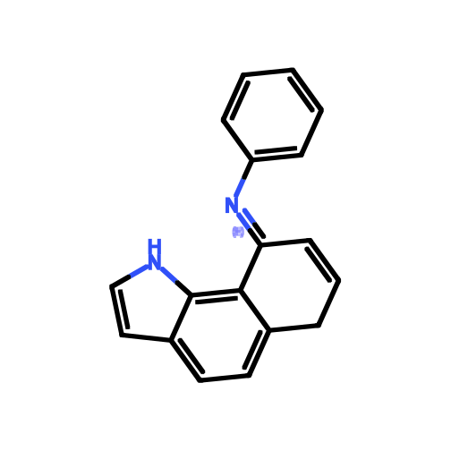 C1=C/C(=N\c2ccccc2)c2c(ccc3cc[nH]c23)C1